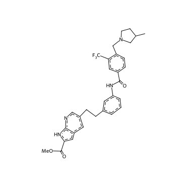 COC(=O)c1cc2cc(CCc3cccc(NC(=O)c4ccc(CN5CCC(C)C5)c(C(F)(F)F)c4)c3)cnc2[nH]1